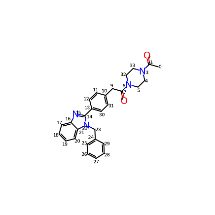 CC(=O)N1CCN(C(=O)Cc2ccc(-c3nc4ccccc4n3Cc3ccccc3)cc2)CC1